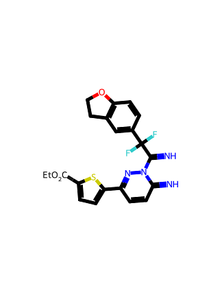 CCOC(=O)c1ccc(-c2ccc(=N)n(C(=N)C(F)(F)c3ccc4c(c3)CCO4)n2)s1